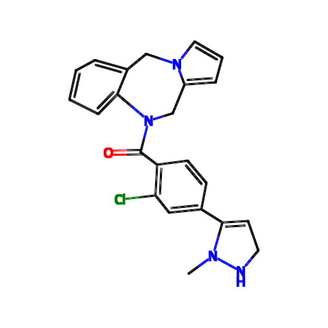 CN1NCC=C1c1ccc(C(=O)N2Cc3cccn3Cc3ccccc32)c(Cl)c1